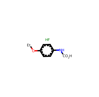 CCOc1ccc(NC(=O)O)cc1.F